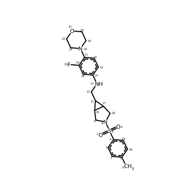 Cc1ccc(S(=O)(=O)N2CC3C(CNc4ccc(N5CCOCC5)c(F)c4)C3C2)cc1